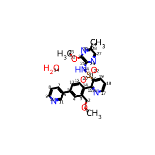 COCc1cc(-c2cccnc2)ccc1-c1ncccc1S(=O)(=O)Nc1ncc(C)nc1OC.O